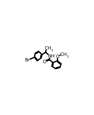 COc1ccccc1C(=O)NC(C)c1ccc(Br)cc1